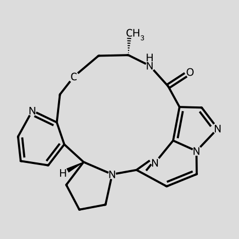 C[C@H]1CCCc2ncccc2[C@H]2CCCN2c2ccn3ncc(c3n2)C(=O)N1